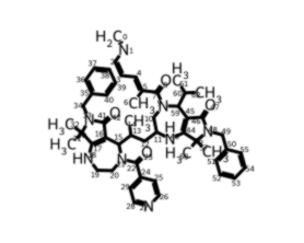 C=N/C=C\C=C(/C)C(=O)N1CC(CC(C)C2C3=C(NCCN2C(=O)c2ccncc2)C(C)(C)N(Cc2ccccc2)C3=O)NC2=C(C(=O)N(Cc3ccccc3)C2(C)C)C1C(C)C